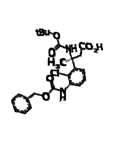 CC(C)(C)OC(=O)N[C@@](C)(CC(=O)O)c1cccc(NC(=O)OCc2ccccc2)c1Cl